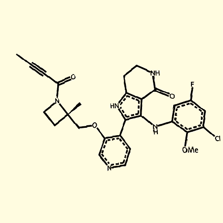 CC#CC(=O)N1CC[C@@]1(C)COc1cnccc1-c1[nH]c2c(c1Nc1cc(F)cc(Cl)c1OC)C(=O)NCC2